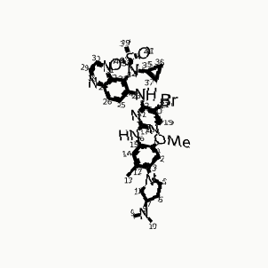 COc1cc(N2CCC(N(C)C)C2)c(C)cc1Nc1ncc(Br)c(Nc2ccc3nccnc3c2N(C2CC2)S(C)(=O)=O)n1